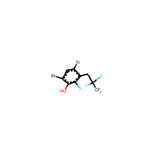 CC(C)c1cc(Br)c(CC(F)(F)C(F)(F)F)c(F)c1O